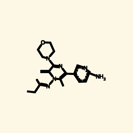 C=C1C(N2CCOCC2)=NC(c2ccc(N)nc2)=C(C)N1/N=C(\C)CC